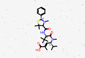 C/C(=C\[C@H](C(C)C)N(C)C(=O)[C@H](NC(=O)C1N(C)[C@H](c2ccccc2)SC1(C)C)C(C)(C)C)C(=O)O